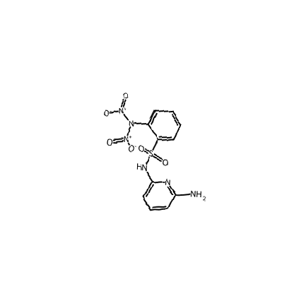 Nc1cccc(NS(=O)(=O)c2ccccc2N([N+](=O)[O-])[N+](=O)[O-])n1